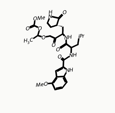 COC(=O)OC(C)OCC(=O)C(C[C@@H]1CCNC1=O)NC(=O)C(CC(C)C)NC(=O)c1cc2c(OC)cccc2[nH]1